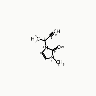 C#CC(C)n1ccn(C)c1=O